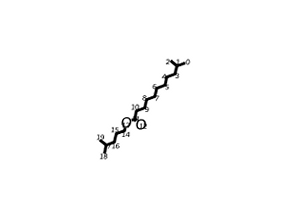 CC(C)CCCCCCCCC(=O)OCCCC(C)C